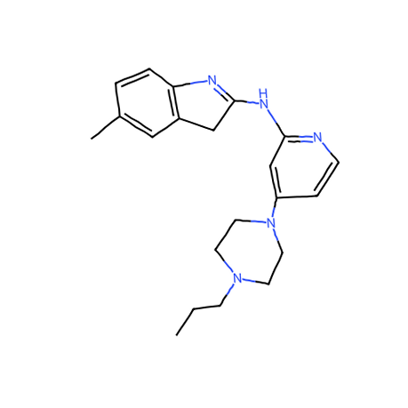 CCCN1CCN(c2ccnc(NC3=Nc4ccc(C)cc4C3)c2)CC1